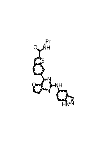 CC(C)NC(=O)c1cc2ccc(-c3nc(Nc4ccc5[nH]ncc5c4)nc4ccoc34)cc2s1